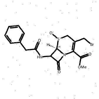 COC(=O)C1=C(CBr)C[S+]([O-])[C@@H]2C(NC(=O)Cc3ccccc3)C(=O)N12